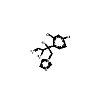 C=CC(C)C(O)(Cn1ccnc1)c1ccc(Cl)cc1Cl